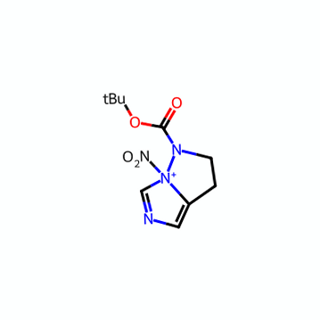 CC(C)(C)OC(=O)N1CCC2=CN=C[N+]21[N+](=O)[O-]